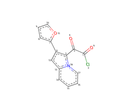 O=C(Cl)C(=O)c1c(-c2ccco2)cc2ccccn12